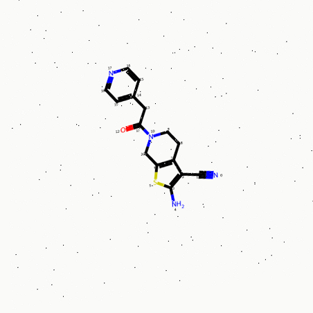 N#Cc1c(N)sc2c1CCN(C(=O)Cc1ccncc1)C2